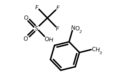 Cc1ccccc1[N+](=O)[O-].O=S(=O)(O)C(F)(F)F